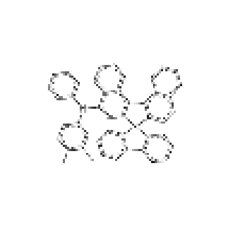 Cc1ccc(N(c2ccccc2)c2cc3c(c4ccccc24)-c2c(ccc4ccccc24)C32c3ccccc3-c3ccccc32)cc1C